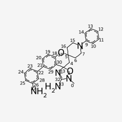 CN1OC2(CC3(CCN(c4ccccc4)CC3)Oc3ccc(-c4cccc(N)c4)cc32)N=C1N